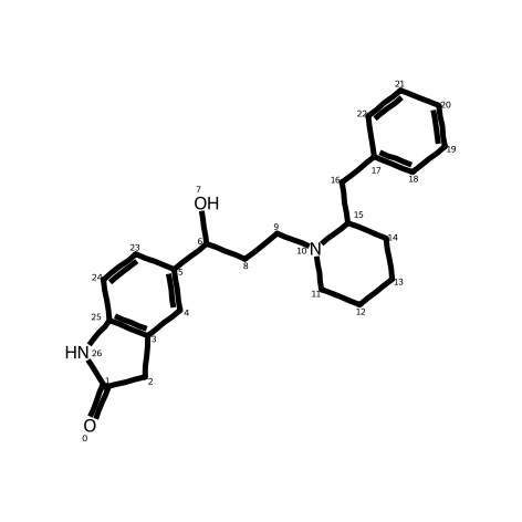 O=C1Cc2cc(C(O)CCN3CCCCC3Cc3ccccc3)ccc2N1